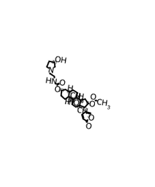 CC(=O)O[C@H]1C[C@]2(O)[C@@H]3CC[C@@H]4C[C@@H](OC(=O)NCCN5CC[C@@H](O)C5)CC[C@]4(C)[C@H]3CC[C@]2(C)[C@H]1c1ccc(=O)oc1